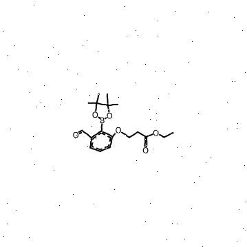 CCOC(=O)CCOc1cccc(C=O)c1B1OC(C)(C)C(C)(C)O1